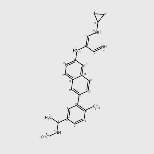 Cc1ccc(C(C)NC=O)cc1-c1ccc2nc(N/C(C=N)=C/NC3CC3)ncc2c1